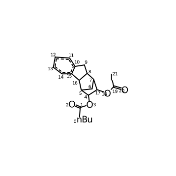 CCCCC(=O)OC1C2CC(C3Cc4ccccc4C32)C1OC(=O)I